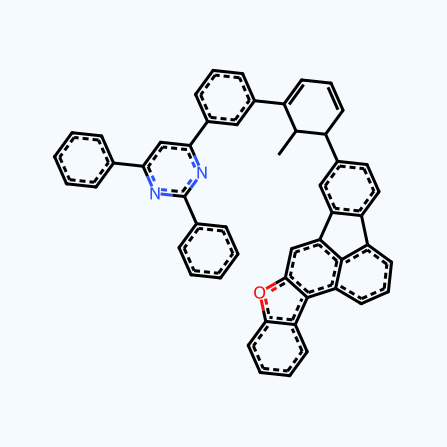 CC1C(c2cccc(-c3cc(-c4ccccc4)nc(-c4ccccc4)n3)c2)=CC=CC1c1ccc2c(c1)-c1cc3oc4ccccc4c3c3cccc-2c13